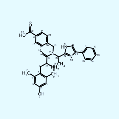 Cc1cc(O)cc(C)c1CC(N)C(=O)N(Cc1ccc(C(=O)O)cc1)C(C)c1nc(-c2ccccc2)c[nH]1